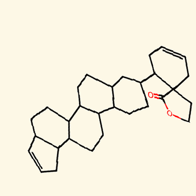 O=C1OCCC12CC=CCC2C1CCC2C(CCC3C2CCC2C4CC=CC4CCC23)C1